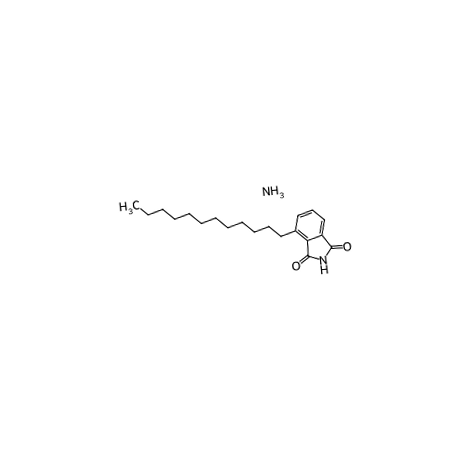 CCCCCCCCCCCCc1cccc2c1C(=O)NC2=O.N